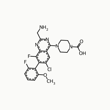 COc1cccc(F)c1-c1c(Cl)cc2c(N3CCN(C(=O)O)CC3)nc(CN)nc2c1F